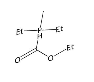 CCOC(=O)[PH](C)(CC)CC